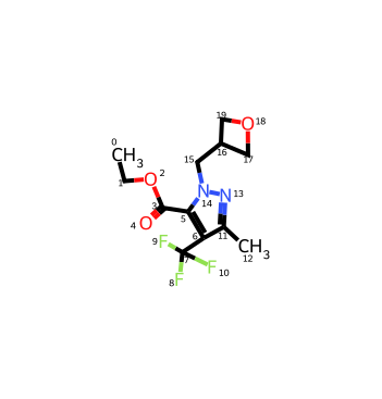 CCOC(=O)c1c(C(F)(F)F)c(C)nn1CC1COC1